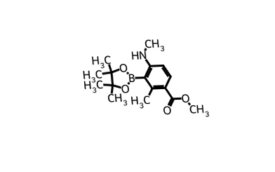 CNc1ccc(C(=O)OC)c(C)c1B1OC(C)(C)C(C)(C)O1